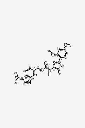 COc1ccc(-c2nc(C)c(NC(=O)OCc3ccc4c(c3)ncn4C(C)C)s2)c(OC)c1